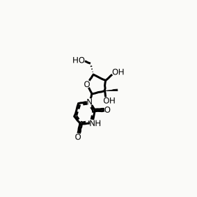 C[C@]1(O)C(O)[C@@H](CO)OC1n1ccc(=O)[nH]c1=O